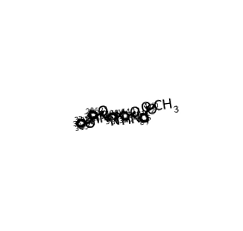 CCOC(=O)c1cccc(NC(=O)C2CCN(c3ccc(NC(=O)c4cccc(Oc5ccccc5)c4)cn3)CC2)c1